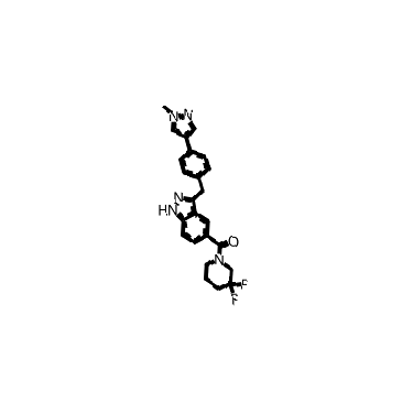 Cn1cc(-c2ccc(Cc3n[nH]c4ccc(C(=O)N5CCCC(F)(F)C5)cc34)cc2)cn1